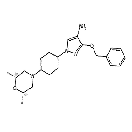 C[C@@H]1CN(C2CCC(n3cc(N)c(OCc4ccccc4)n3)CC2)C[C@H](C)O1